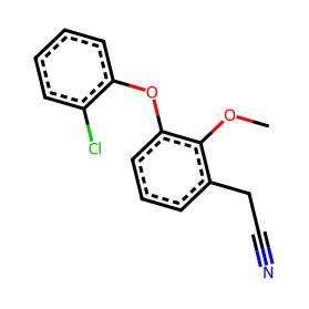 COc1c(CC#N)cccc1Oc1ccccc1Cl